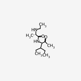 CCN[C@@H](C)C(=O)NC(C(C)=O)C(CC)CC